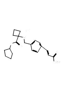 COC(=O)/C=C/c1ccc(CNC2(C(=O)OC3CCCC3)CCC2)cc1.Cl